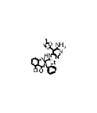 CC[C@H](Nc1ncnc(N)c1-c1nnc(C)o1)c1nc2cccc(Cl)c2c(=O)n1-c1ccccc1